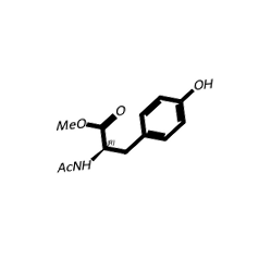 COC(=O)[C@@H](Cc1ccc(O)cc1)NC(C)=O